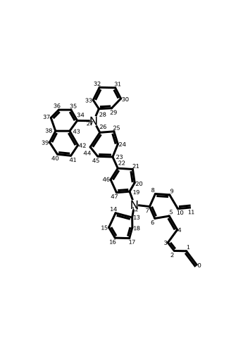 C=C\C=C/C=C\C=C(/C=C\C=C)N(c1ccccc1)c1ccc(-c2ccc(N(c3ccccc3)c3cccc4ccccc34)cc2)cc1